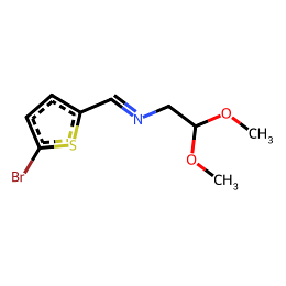 COC(CN=Cc1ccc(Br)s1)OC